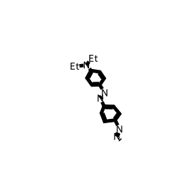 CCN(CC)c1ccc(N=Nc2ccc(N=NC)cc2)cc1